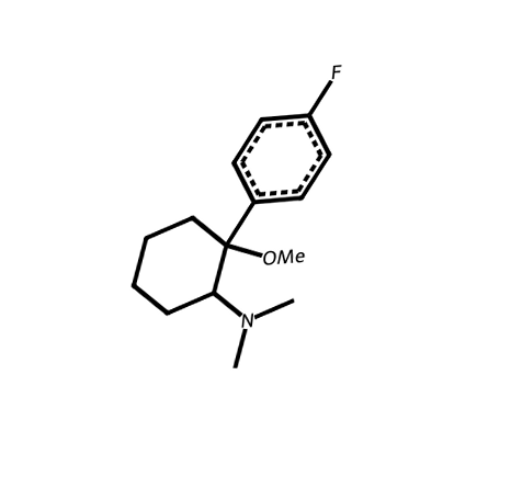 COC1(c2ccc(F)cc2)CCCCC1N(C)C